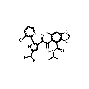 Cc1cc2c(c(C(=O)NC(C)C)c1NC(=O)c1cc(C(F)F)nn1-c1ncccc1Cl)OCO2